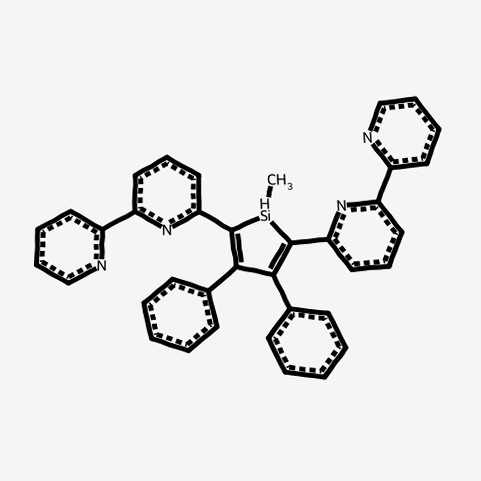 C[SiH]1C(c2cccc(-c3ccccn3)n2)=C(c2ccccc2)C(c2ccccc2)=C1c1cccc(-c2ccccn2)n1